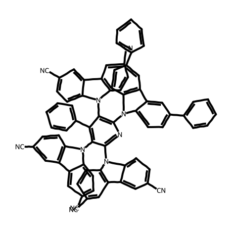 N#Cc1ccc2c(c1)c1cc(C#N)ccc1n2-c1nc(-n2c3ccc(-c4ccccc4)cc3c3cc(-c4ccccc4)ccc32)c(-n2c3ccc(C#N)cc3c3cc(C#N)ccc32)c(-c2ccccc2)c1-n1c2ccc(C#N)cc2c2cc(C#N)ccc21